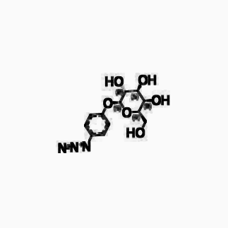 [N-]=[N+]=Nc1ccc(O[C@@H]2O[C@H](CO)[C@H](O)[C@H](O)[C@H]2O)cc1